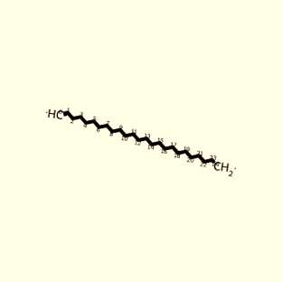 [CH]=CCCCCCCCCCCCCCCCCCCCCCC[CH2]